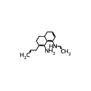 C=CCC1=C(N)C2=C(NC=C)C=CCC2CC1